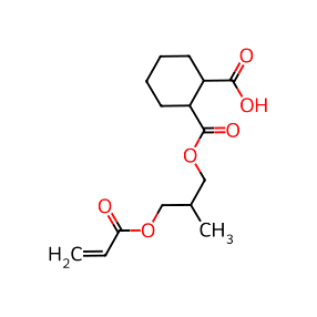 C=CC(=O)OCC(C)COC(=O)C1CCCCC1C(=O)O